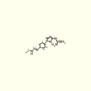 CCN/C=N/c1ccc(-c2nnc(N=C(N)N)s2)cc1